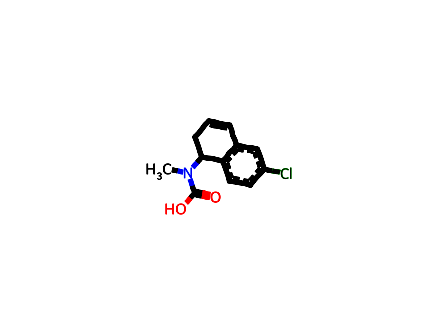 CN(C(=O)O)C1CC=Cc2cc(Cl)ccc21